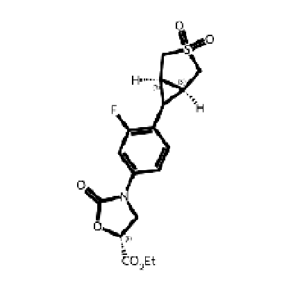 CCOC(=O)[C@H]1CN(c2ccc(C3[C@H]4CS(=O)(=O)C[C@@H]34)c(F)c2)C(=O)O1